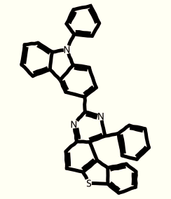 c1ccc(-c2nc(-c3ccc4c(c3)c3ccccc3n4-c3ccccc3)nc3ccc4sc5ccccc5c4c23)cc1